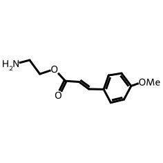 COc1ccc(/C=C/C(=O)OCCN)cc1